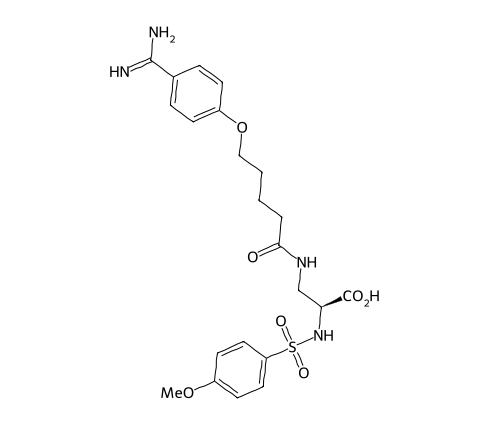 COc1ccc(S(=O)(=O)N[C@@H](CNC(=O)CCCCOc2ccc(C(=N)N)cc2)C(=O)O)cc1